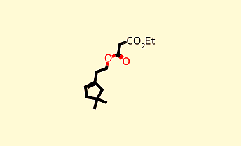 CCOC(=O)CC(=O)OCCC1=CCC(C)(C)C1